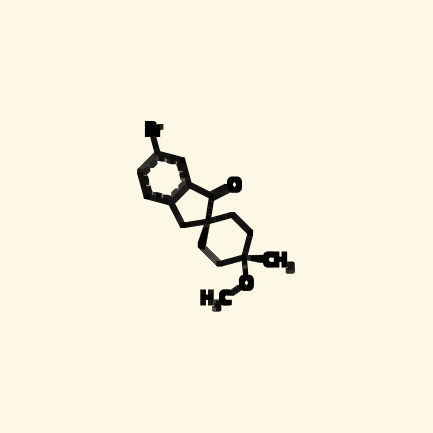 CO[C@]1(C)CC[C@@]2(CC1)Cc1ccc(Br)cc1C2=O